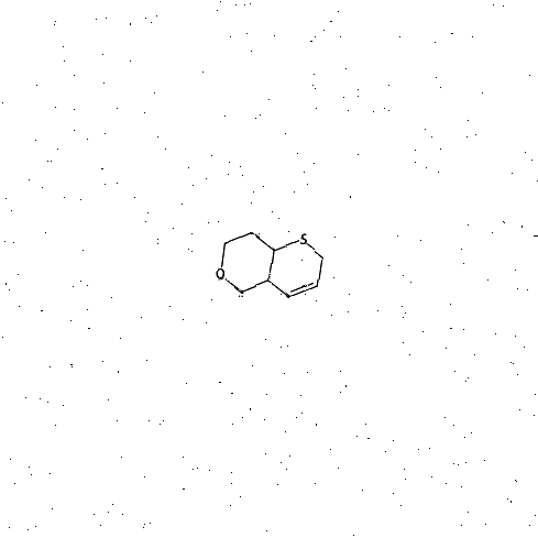 [C]1OCCC2SCC=CC12